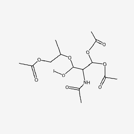 CC(=O)NC(C(OC(C)=O)OC(C)=O)C(OI)OC(C)COC(C)=O